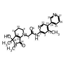 Cc1cc(NC(=O)CN2CCCC3=C2C(=O)N(C)C3(C)O)ncc1-c1cccnc1